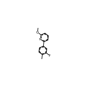 COc1cccc(-c2ccc(C)c(F)c2)n1